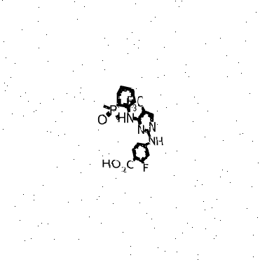 CP(C)(=O)c1ccccc1Nc1nc(Nc2ccc(C(=O)O)c(F)c2)ncc1C(F)(F)F